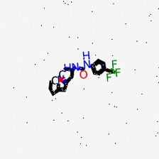 O=C(Nc1ccc(C(F)(F)F)cc1)NC1CCN(C/C2=C\CCCCCC2)CC1